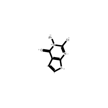 CCc1nc2sccc2c(=O)n1C(C)C